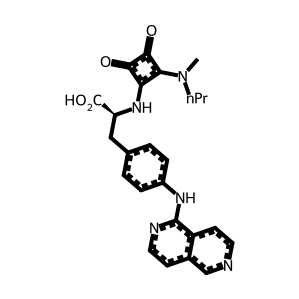 CCCN(C)c1c(N[C@@H](Cc2ccc(Nc3nccc4cnccc34)cc2)C(=O)O)c(=O)c1=O